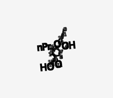 CC#CC(O)Oc1ccc(C(=O)CO)cc1CCC